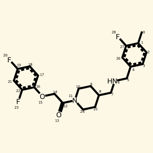 Cc1ccc(CNCC2CCN(C(=O)COc3ccc(F)cc3F)CC2)cc1F